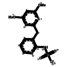 COc1cc(OC)nc(Cc2cccnc2NS(=O)(=O)C(F)(F)F)n1